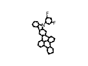 Fc1cc(F)cc(-n2c3ccccc3c3cc4c(cc32)c2cccc3c5ccccc5c5cccc4c5c32)c1